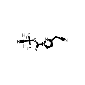 CC(C)(C#N)SC(=S)n1ccc(CC#N)n1